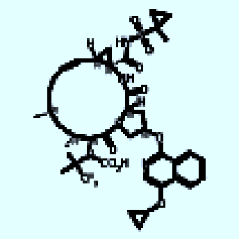 C[C@@H]1CCC=C[C@@H]2C[C@@]2(C(=O)NS(=O)(=O)C2(C)CC2)NC(=O)[C@@H]2C[C@@H](Oc3ncc(OC4CC4)c4ccccc34)CN2C(=O)[C@@H](N(C(=O)O)C(C)(C)C(F)(F)F)[C@H](C)C1